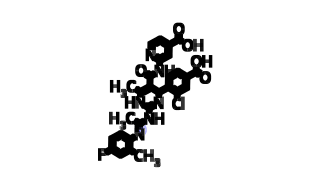 CC1=C(C(=O)Nc2cc(C(=O)O)ccn2)C(c2ccc(C(=O)O)cc2Cl)N=C(N/C(C)=N/c2ccc(F)cc2C)N1